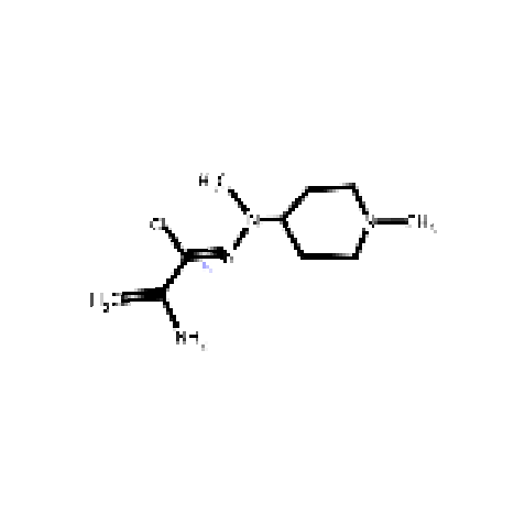 C=C(N)/C(Cl)=N/N(C)C1CCN(C)CC1